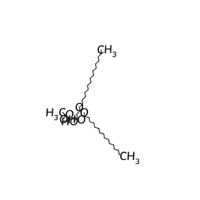 CC(=O)O.CCCCCCCCCCCCCCCCOC(CC(=O)O)OCCCCCCCCCCCCCCCC